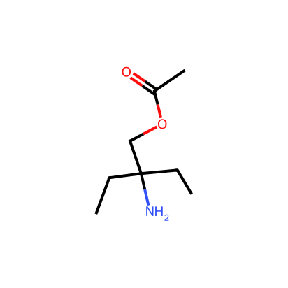 CCC(N)(CC)COC(C)=O